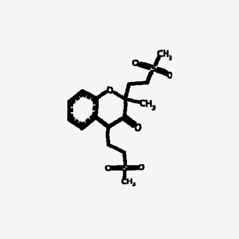 CC1(CCS(C)(=O)=O)Oc2ccccc2C(CCS(C)(=O)=O)C1=O